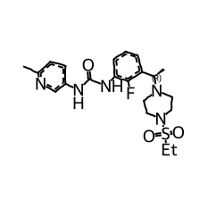 CCS(=O)(=O)N1CCN([C@H](C)c2cccc(NC(=O)Nc3ccc(C)nc3)c2F)CC1